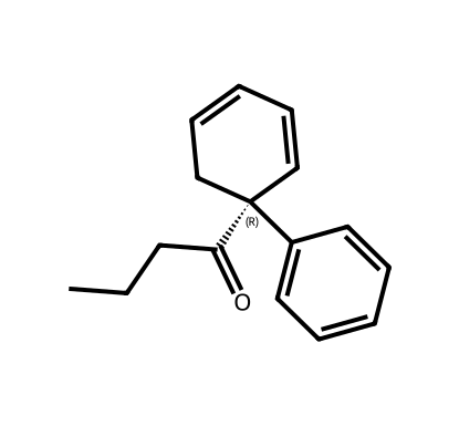 CCCC(=O)[C@@]1(c2ccccc2)C=CC=CC1